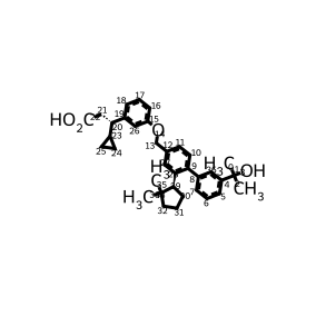 CC(C)(O)c1cccc(-c2ccc(COc3cccc([C@@H](CC(=O)O)C4CC4)c3)cc2[C@H]2CCCC2(C)C)c1